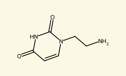 NCCn1ccc(=O)[nH]c1=O